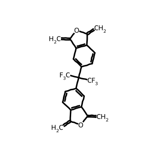 C=c1oc(=C)c2cc(C(c3ccc4c(=C)oc(=C)c4c3)(C(F)(F)F)C(F)(F)F)ccc12